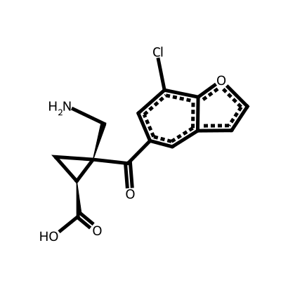 NC[C@]1(C(=O)c2cc(Cl)c3occc3c2)C[C@@H]1C(=O)O